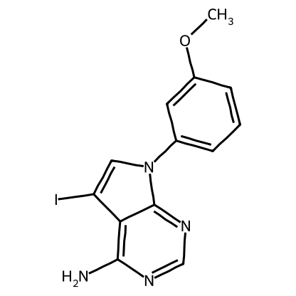 COc1cccc(-n2cc(I)c3c(N)ncnc32)c1